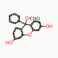 O=COC1(c2ccccc2)c2ccc(O)cc2Oc2cc(O)ccc21